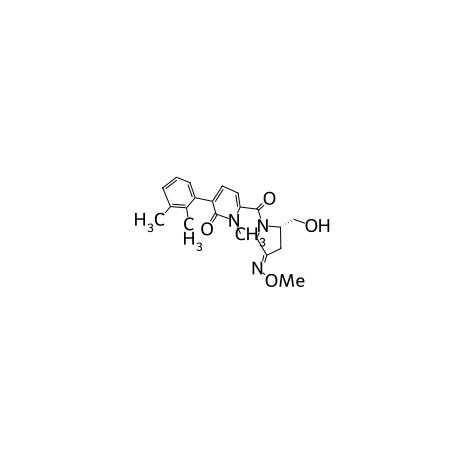 CO/N=C1\C[C@@H](CO)N(C(=O)c2ccc(-c3cccc(C)c3C)c(=O)n2C)C1